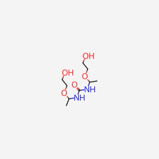 CC(NC(=O)NC(C)OCCO)OCCO